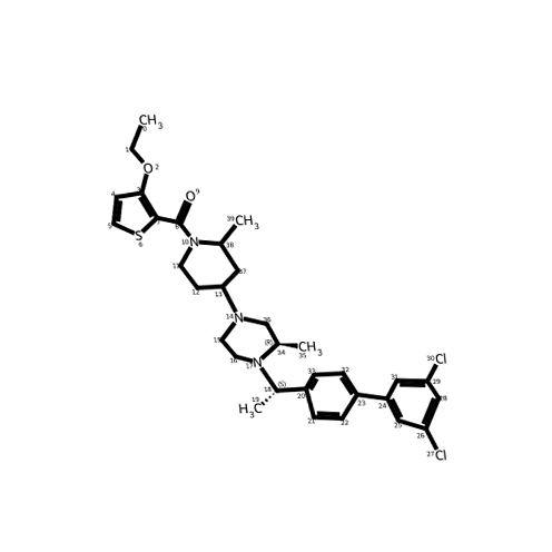 CCOc1ccsc1C(=O)N1CCC(N2CCN([C@@H](C)c3ccc(-c4cc(Cl)cc(Cl)c4)cc3)[C@H](C)C2)CC1C